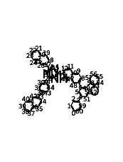 c1ccc(-c2cc(-c3ccc4ccc(C5=NC(c6ccc7ccccc7c6)=NC(c6ccc(-c7ccc8ccccc8c7)cc6)N5)cc4c3)c3c(c2)oc2ccccc23)cc1